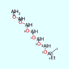 C[CH2][Al]([CH3])[O][AlH][O][AlH][O][AlH][O][AlH][O][AlH][O][AlH2]